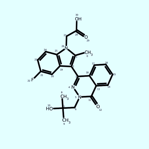 Cc1c(-c2nn(CC(C)(C)O)c(=O)c3ccccc23)c2cc(F)ccc2n1CC(=O)O